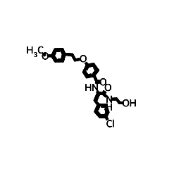 COc1ccc(CCOc2ccc(C(=O)NC(=Cc3ccc(Cl)cc3)C(=O)NCCO)cc2)cc1